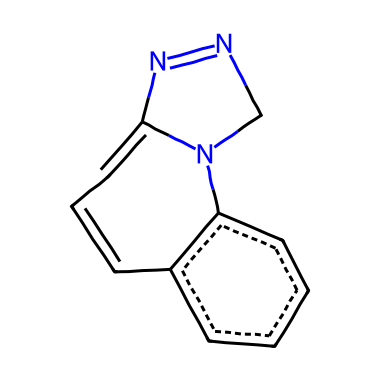 C1=Cc2ccccc2N2CN=NC2=C1